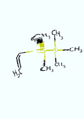 C=CS(C)(C)S(C)(C)C